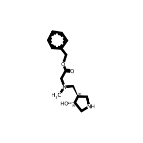 CN(CC(=O)OCc1ccccc1)C[C@H]1CNC[C@@H]1O